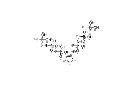 O=P(O)(O)F.O=P(O)(O)F.O=P(O)(O)F.O=P(O)(O)F.O=P(O)(O)F.O=P(O)(O)F.[Fe][C]1=CC=CC1